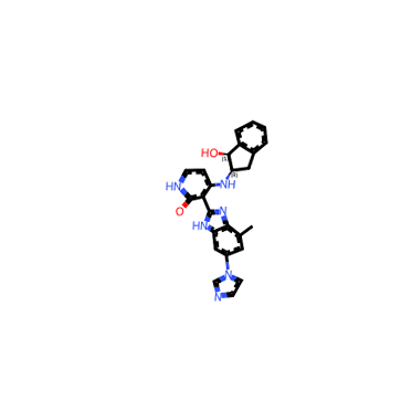 Cc1cc(-n2ccnc2)cc2[nH]c(-c3c(N[C@@H]4Cc5ccccc5[C@@H]4O)cc[nH]c3=O)nc12